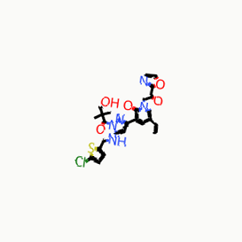 C=Cc1cc(-c2cc(NCc3ccc(Cl)s3)n(C(=O)C(C)(C)CO)n2)c(=O)n(CC(=O)c2ncco2)c1